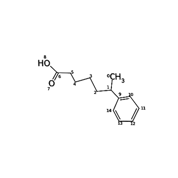 CC(CCCCC(=O)O)c1ccccc1